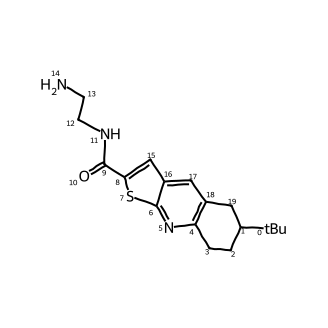 CC(C)(C)C1CCc2nc3sc(C(=O)NCCN)cc3cc2C1